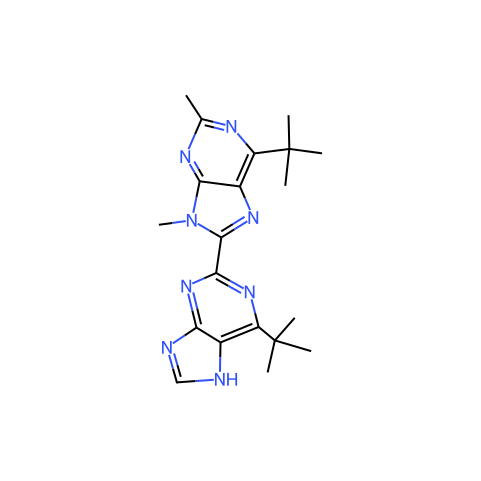 Cc1nc(C(C)(C)C)c2nc(-c3nc(C(C)(C)C)c4[nH]cnc4n3)n(C)c2n1